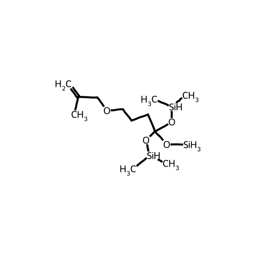 C=C(C)COCCCC(O[SiH3])(O[SiH](C)C)O[SiH](C)C